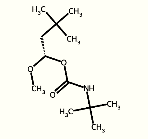 CO[C@H](CC(C)(C)C)OC(=O)NC(C)(C)C